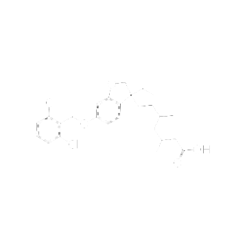 CCC1(CCC(C)CC(C)CC(=O)O)COc2cc(OCc3c(Cl)cccc3Cl)ccc21